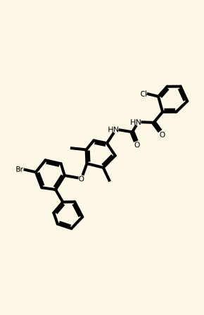 Cc1cc(NC(=O)NC(=O)c2ccccc2Cl)cc(C)c1Oc1ccc(Br)cc1-c1ccccc1